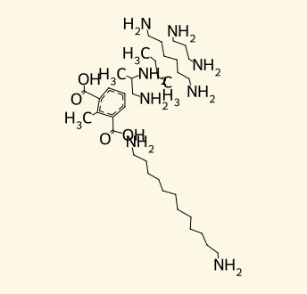 CC(N)CN.CCCC.Cc1c(C(=O)O)cccc1C(=O)O.NCCCCCCCCCCCCN.NCCCCCCN.NCCCN